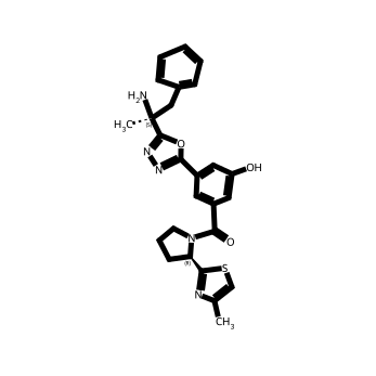 Cc1csc([C@H]2CCCN2C(=O)c2cc(O)cc(-c3nnc([C@@](C)(N)Cc4ccccc4)o3)c2)n1